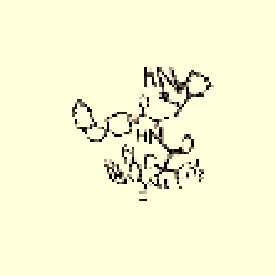 CC(C)(C)OC(=O)NC(C)(C)C(=O)NC(Cc1c[nH]c2ccccc12)C(=O)N1CCC2(C=Cc3ccccc32)CC1